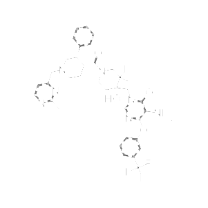 Cc1nccc(CN2CC[C@@H](C(=O)N3CC[C@](O)(Cn4cnc(Oc5cccc(C(F)(F)F)c5)c(N)c4=O)C(F)(F)C3)[C@H](c3ccccc3)C2)n1